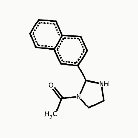 CC(=O)N1CCNC1c1ccc2ccccc2c1